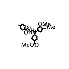 COC(=O)c1ccc(/C(=N\NS(=O)(=O)c2ccc(C)cc2)c2ccc(OC)c(OC)c2)cc1